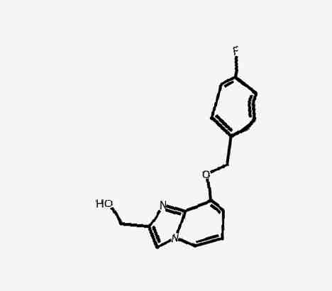 OCc1cn2cccc(OCc3ccc(F)cc3)c2n1